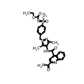 CCOC(=O)N=S(C)(=O)c1ccc(Cn2nc(C)c(NC(=O)c3cc(C(N)=O)nc4ccccc34)c2C)cc1